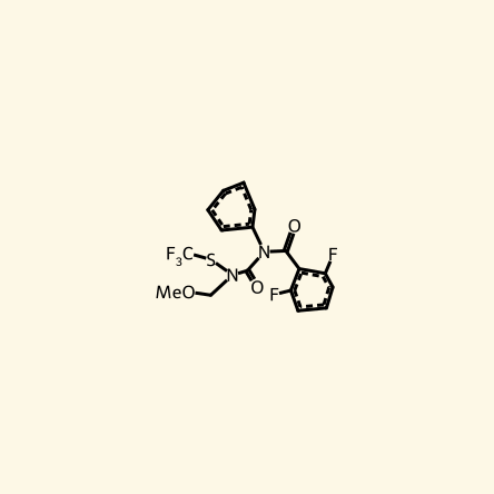 COCN(SC(F)(F)F)C(=O)N(C(=O)c1c(F)cccc1F)c1ccccc1